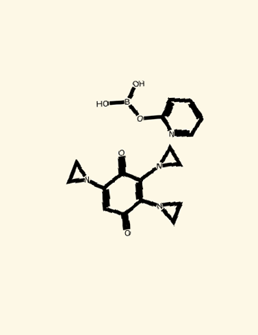 O=C1C=C(N2CC2)C(=O)C(N2CC2)=C1N1CC1.OB(O)Oc1ccccn1